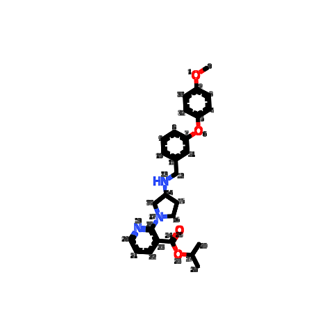 COc1ccc(Oc2cccc(CN[C@H]3CCN(c4ncccc4C(=O)OC(C)C)C3)c2)cc1